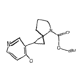 CC(C)(C)OC(=O)N1CCCC12CC2c1cnccc1Cl